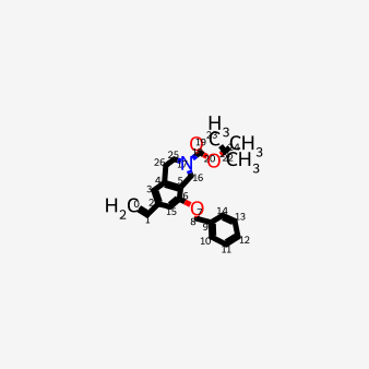 C=Cc1cc2c(c(OCc3ccccc3)c1)CN(C(=O)OC(C)(C)C)CC2